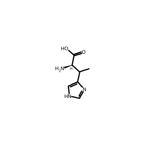 CC(c1c[nH]cn1)[C@@H](N)C(=O)O